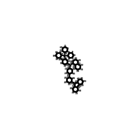 c1ccc(C2(c3ccccc3)c3ccccc3-c3ccc(N(c4ccc(-c5cccc(-n6c7ccccc7c7ccccc76)c5)cc4)c4cccc5ccccc45)cc32)cc1